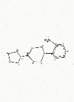 Nc1ccccc1N1CCN(C2CCCC2)CC1